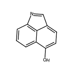 Oc1ccc2c3c(cccc13)N=C2